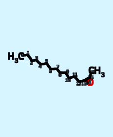 CCCCCCCCCCCCCC1OC1C